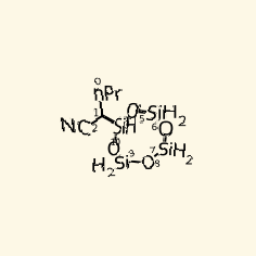 CCCC(C#N)[SiH]1O[SiH2]O[SiH2]O[SiH2]O1